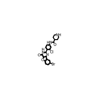 O=C(Nc1ccc(-c2nc3c(oc4ccc(Br)cc43)c(=O)[nH]2)c(Cl)c1)C1CCNCC1